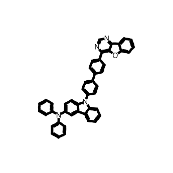 c1ccc(N(c2ccccc2)c2ccc3c(c2)c2ccccc2n3-c2ccc(-c3ccc(-c4ncnc5c4oc4ccccc45)cc3)cc2)cc1